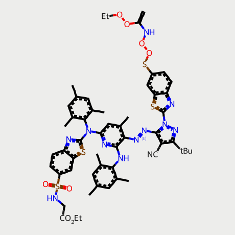 C=C(NOOSc1ccc2nc(-n3nc(C(C)(C)C)c(C#N)c3/N=N/c3c(C)cc(N(c4nc5ccc(S(=O)(=O)NCC(=O)OCC)cc5s4)c4c(C)cc(C)cc4C)nc3Nc3c(C)cc(C)cc3C)sc2c1)OOCC